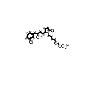 O=C(O)COCCCCN1C(=O)CCC1CC[C@@H](O)Cc1cccc(Cl)c1